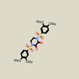 COc1ccc(S(=O)(=O)N2CCN(S(=O)(=O)c3ccc(OC)c(OC)c3)C(=O)C2=O)cc1OC